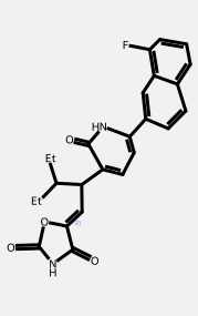 CCC(CC)C(/C=C1\OC(=O)NC1=O)c1ccc(-c2ccc3cccc(F)c3c2)[nH]c1=O